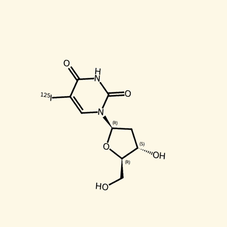 O=c1[nH]c(=O)n([C@H]2C[C@H](O)[C@@H](CO)O2)cc1[125I]